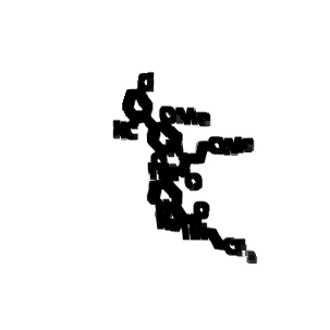 COCCC(C(=O)Nc1ccn2ncc(C(=O)NCCC(F)(F)F)c2c1)n1cc(OC)c(-c2cc(Cl)ccc2C#N)cc1=O